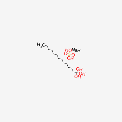 CCCCCCCCCCCCCC(O)(O)O.O=S(=O)(O)O.[NaH]